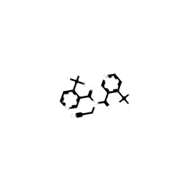 N#CCN(C(=O)c1cnccc1C(F)(F)F)C(=O)c1cnccc1C(F)(F)F